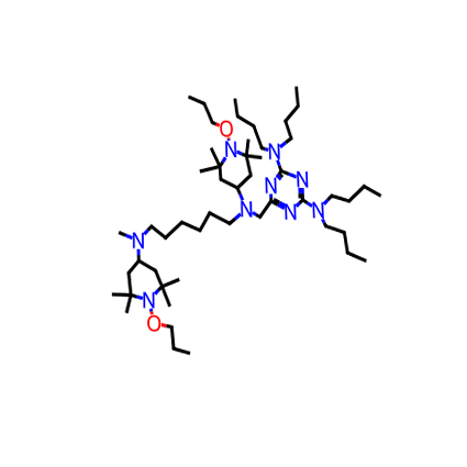 CCCCN(CCCC)c1nc(CN(CCCCCCN(C)C2CC(C)(C)N(OCCC)C(C)(C)C2)C2CC(C)(C)N(OCCC)C(C)(C)C2)nc(N(CCCC)CCCC)n1